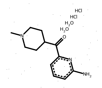 CN1CCC(C(=O)c2cccc(N)n2)CC1.Cl.Cl.O.O